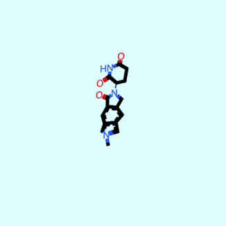 Cn1cc2cc3c(cc2c1)C(=O)N([C@H]1CCC(=O)NC1=O)C3